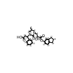 CC(C)CN(CC(O)C(=O)Oc1ccc2c(c1)CCC2)C(=O)NC(CC(=O)O)c1ccccc1